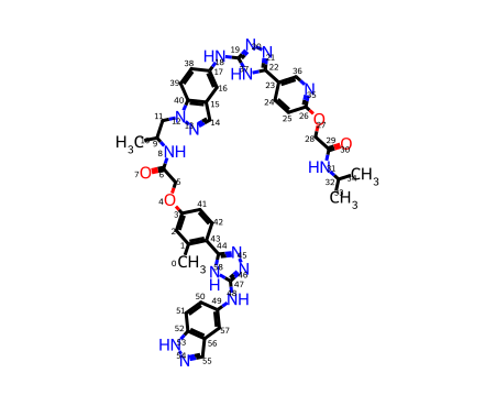 Cc1cc(OCC(=O)NC(C)Cn2ncc3cc(Nc4nnc(-c5ccc(OCC(=O)NC(C)C)nc5)[nH]4)ccc32)ccc1-c1nnc(Nc2ccc3[nH]ncc3c2)[nH]1